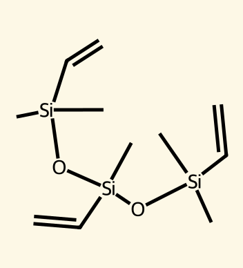 C=C[Si](C)(C)O[Si](C)(C=C)O[Si](C)(C)C=C